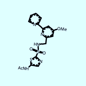 COc1cc(CNS(=O)(=O)c2ncc(NC(C)=O)s2)nc(-c2ccccn2)c1